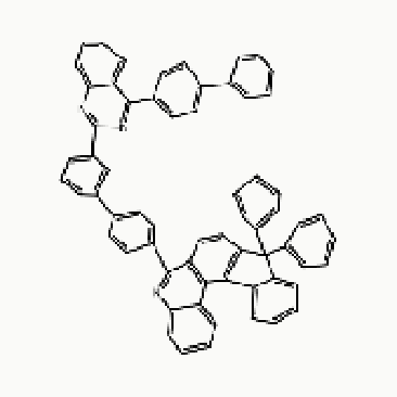 c1ccc(-c2ccc(-c3nc(-c4cccc(-c5ccc(-c6nc7ccccc7c7c8c(ccc67)C(c6ccccc6)(c6ccccc6)c6ccccc6-8)cc5)c4)nc4ccccc34)cc2)cc1